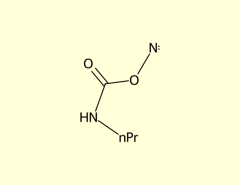 CCCNC(=O)O[N]